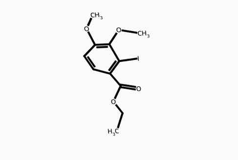 CCOC(=O)c1ccc(OC)c(OC)c1I